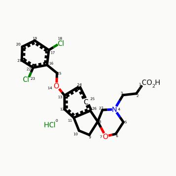 Cl.O=C(O)CCN1CCOC2(CCc3cc(OCc4c(Cl)cccc4Cl)ccc32)C1